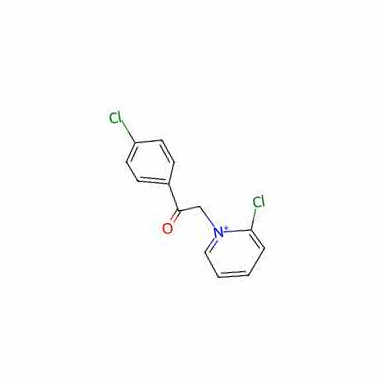 O=C(C[n+]1ccccc1Cl)c1ccc(Cl)cc1